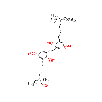 COC(C)(C)CCCCC1=CC(O)C=C(CCC2=CC(O)C=C(CCCCC(C)(C)CO)C2O)C1O